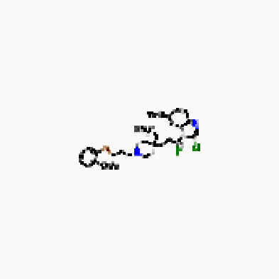 COc1ccc2ncc(Cl)c([C@@H](F)CCC3(CC(=O)O)CCN(CCCSc4ccccc4OC)CC3)c2c1